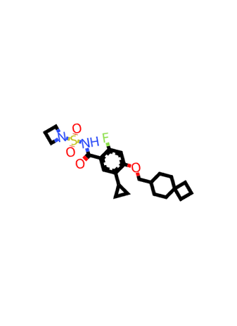 O=C(NS(=O)(=O)N1CCC1)c1cc(C2CC2)c(OCC2CCC3(CCC3)CC2)cc1F